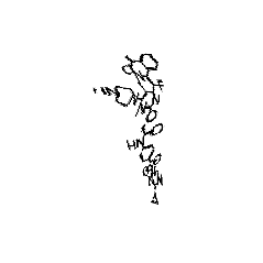 C=C(Cl)c1ccccc1-c1ncc2c(N3CCNCC3)nc(OCC(=O)Nc3ccc(S(=O)(=O)n4cnc(C5CC5)n4)cc3)nc2c1F